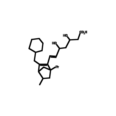 CC1CC2(C(C)C)CC1C(CC1CCCCC1)=C2C=CC(O)CC(O)CC(=O)O